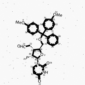 COc1ccc(C(OC[C@H]2O[C@@H](n3ccc(=O)[nH]c3=O)[C@H](F)[C@@H]2CC=O)(c2ccccc2)c2ccc(OC)cc2)cc1